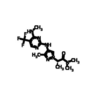 CNc1nc(Nc2cn([C@@H](C)C(=O)N(C)C)nc2C)ncc1C(F)(F)F